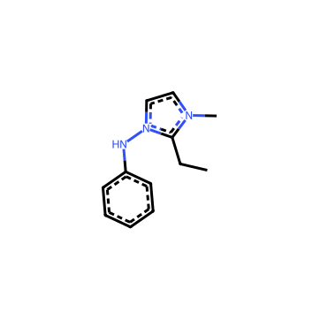 CCc1n(C)cc[n+]1Nc1ccccc1